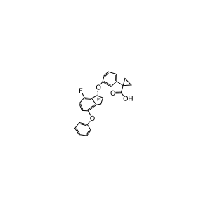 O=C(O)C1(c2cccc(O[C@@H]3CCc4c(Oc5ccccc5)ccc(F)c43)c2)CC1